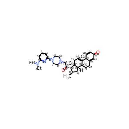 CCN(CC)c1cccc(N2CCN(CC(=O)[C@H]3[C@H](C)C[C@H]4[C@@H]5CCC6=CC(=O)C=C[C@]6(C)C5=CC[C@@]43C)CC2)n1